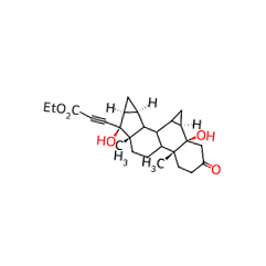 CCOC(=O)C#C[C@]1(O)[C@H]2C[C@H]2C2C3C4C[C@H]4[C@]4(O)CC(=O)CC[C@]4(C)C3CC[C@@]21C